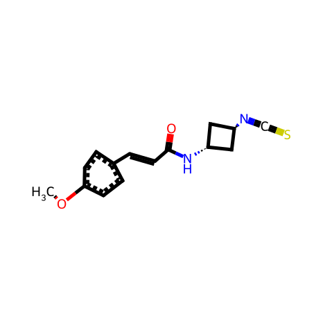 COc1ccc(/C=C/C(=O)N[C@H]2C[C@@H](N=C=S)C2)cc1